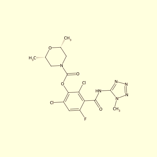 C[C@@H]1CN(C(=O)Oc2c(Cl)cc(F)c(C(=O)Nc3nnnn3C)c2Cl)C[C@H](C)O1